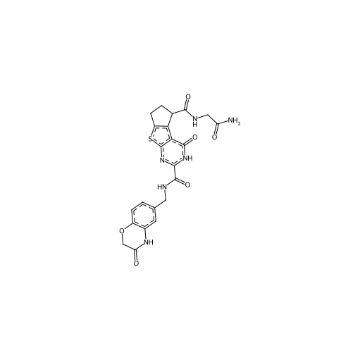 NC(=O)CNC(=O)C1CCc2sc3nc(C(=O)NCc4ccc5c(c4)NC(=O)CO5)[nH]c(=O)c3c21